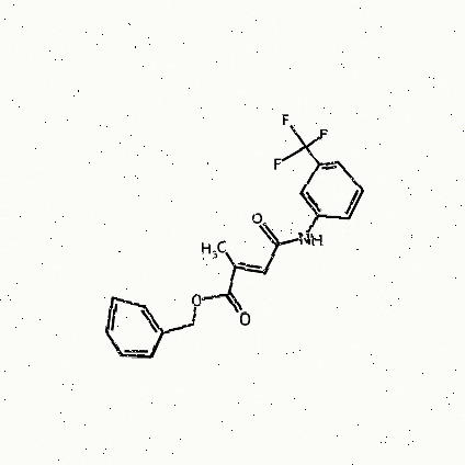 C/C(=C\C(=O)Nc1cccc(C(F)(F)F)c1)C(=O)OCc1ccccc1